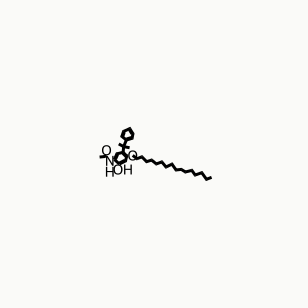 CCCCCCCCCCCCCCCCOc1cc(O)c(NC(C)=O)cc1C(C)(C)c1ccccc1